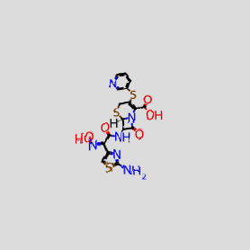 Nc1nc(/C(=N/O)C(=O)N[C@@H]2C(=O)N3C(C(=O)O)=C(Sc4cccnc4)CS[C@H]23)cs1